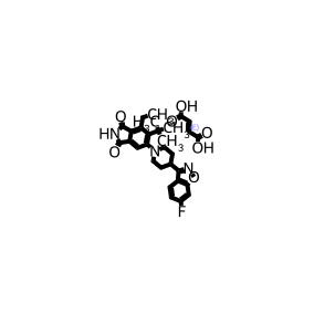 CCc1c2c(cc(N3CCC(c4noc5cc(F)ccc45)CC3)c1C(C)(C)C)C(=O)NC2=O.O=C(O)/C=C/C(=O)O